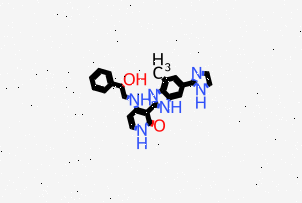 Cc1cc(C2=NCCN2)cc2[nH]c(-c3c(NCC(O)c4ccccc4)cc[nH]c3=O)nc12